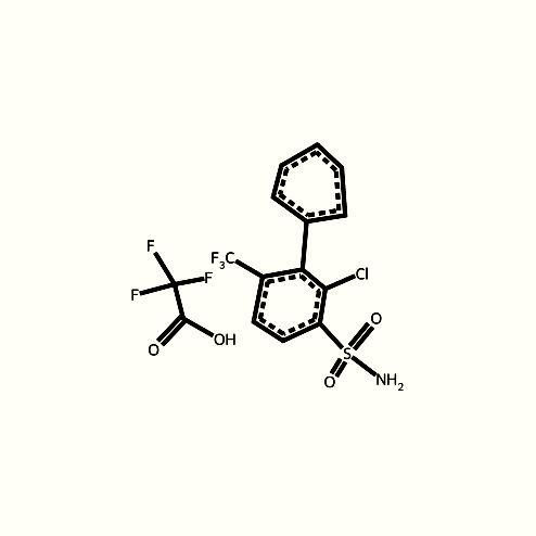 NS(=O)(=O)c1ccc(C(F)(F)F)c(-c2ccccc2)c1Cl.O=C(O)C(F)(F)F